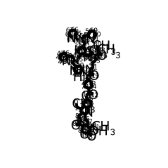 CCc1c2c(nc3ccc(OC(=O)c4ccc(NC(=O)NCCCN(C(=O)C(C)(C)C)c5nc6c(CN(Cc7ccccn7)Cc7ccccn7)ccc(CN(Cc7ccccn7)Cc7ccccn7)c6s5)cc4)cc13)-c1cc3c(c(=O)n1C2)COC(=O)[C@]3(O)CC